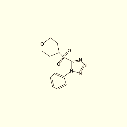 O=S(=O)(c1nnnn1-c1ccccc1)C1CCOCC1